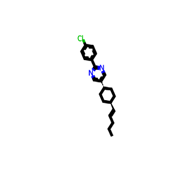 CCCC=C[C@H]1CC[C@H](c2cnc(-c3ccc(Cl)cc3)nc2)CC1